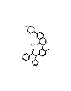 Cc1ccc(N(C(=O)c2ccncc2)N2CC=CC2)cc1N1C=Nc2ccc(N3CCN(C)CC3)cc2C1C=O